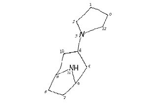 C1CCN(C2CC3CCC(C2)N3)C1